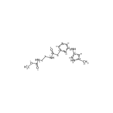 COC(=O)NCCNC(=O)Cc1cccc(Nc2cc(C)[nH]n2)n1